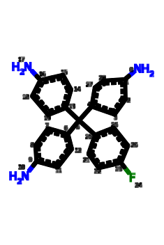 Nc1ccc(C(c2ccc(N)cc2)(c2ccc(N)cc2)c2ccc(F)cc2)cc1